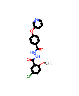 COc1ccc(Cl)cc1C(=O)NNC(=O)c1ccc(Oc2cccnc2)cc1